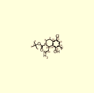 CC(C)(C)OC(=O)N1CCc2c(Cl)cc(F)c(O)c2[C@H]1CN